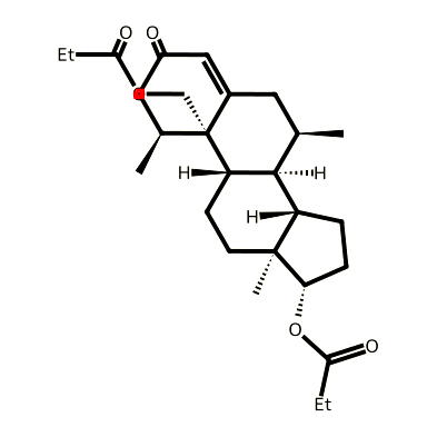 CCC(=O)OC[C@@]12C(=CC(=O)C[C@@H]1C)C[C@@H](C)[C@H]1[C@@H]3CC[C@H](OC(=O)CC)[C@@]3(C)CC[C@@H]12